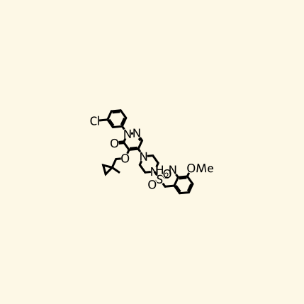 COc1cccc(CS(=O)(=O)N2CCN(c3cnn(-c4cccc(Cl)c4)c(=O)c3OCC3(C)CC3)CC2)c1N